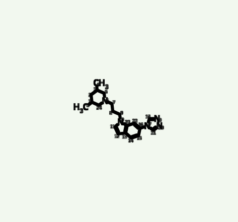 CC1CC(C)CN(CCCn2ccc3ccc(-n4cnnc4)cc32)C1